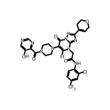 CCc1c(N2CCN(C(=O)c3ncncc3O)CC2)c(=O)n2nc(C3=CCOCC3)nc2n1CC(=O)Nc1ccc(C(F)(F)F)cc1Cl